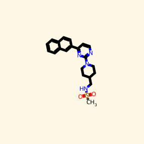 CS(=O)(=O)NCC1CCN(c2nccc(-c3ccc4ccccc4c3)n2)CC1